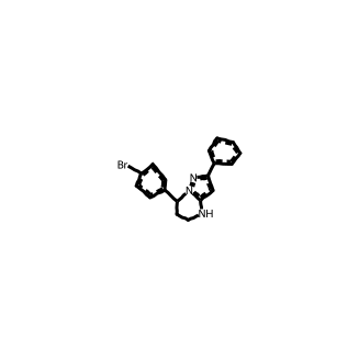 Brc1ccc(C2CCNc3cc(-c4ccccc4)nn32)cc1